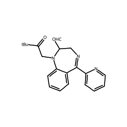 CC(C)(C)C(=O)CN1c2ccccc2C(c2ccccn2)=NCC1C=O